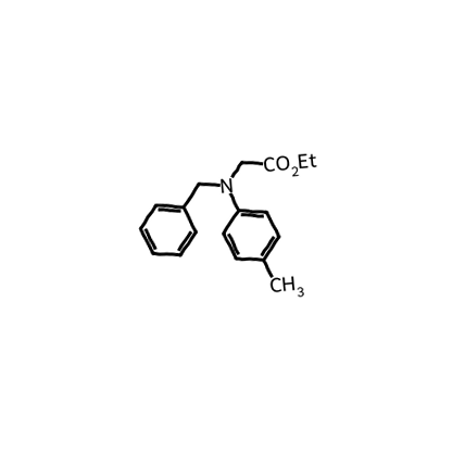 CCOC(=O)CN(Cc1ccccc1)c1ccc(C)cc1